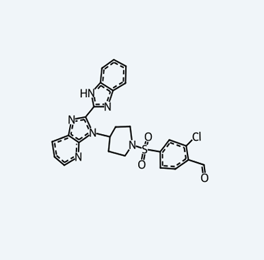 O=Cc1ccc(S(=O)(=O)N2CCC(n3c(-c4nc5ccccc5[nH]4)nc4cccnc43)CC2)cc1Cl